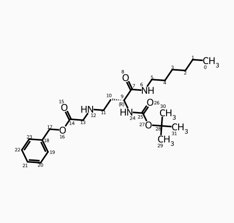 CCCCCCNC(=O)[C@@H](CCNCC(=O)OCc1ccccc1)NC(=O)OC(C)(C)C